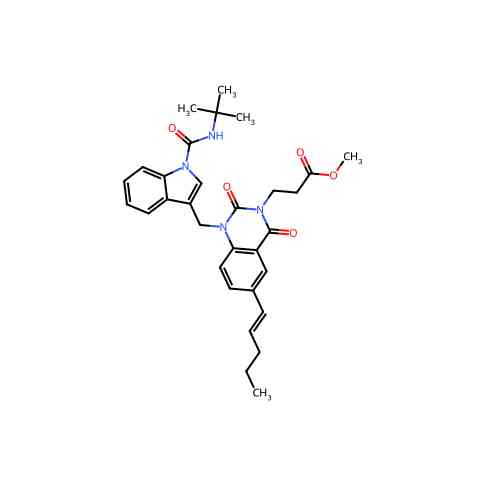 CCC/C=C/c1ccc2c(c1)c(=O)n(CCC(=O)OC)c(=O)n2Cc1cn(C(=O)NC(C)(C)C)c2ccccc12